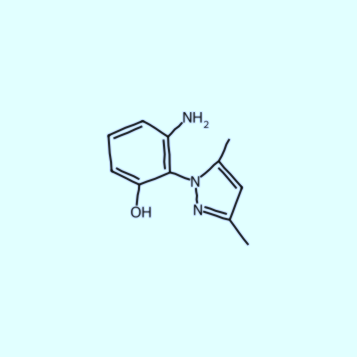 Cc1cc(C)n(-c2c(N)cccc2O)n1